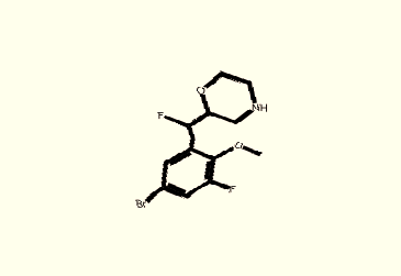 COc1c(F)cc(Br)cc1C(F)C1CNCCO1